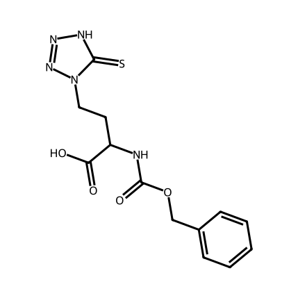 O=C(NC(CCn1nn[nH]c1=S)C(=O)O)OCc1ccccc1